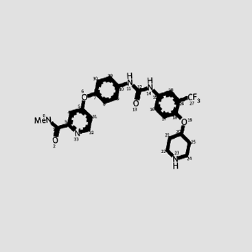 CNC(=O)c1cc(Oc2ccc(NC(=O)Nc3ccc(OC4CCNCC4)c(C(F)(F)F)c3)cc2)ccn1